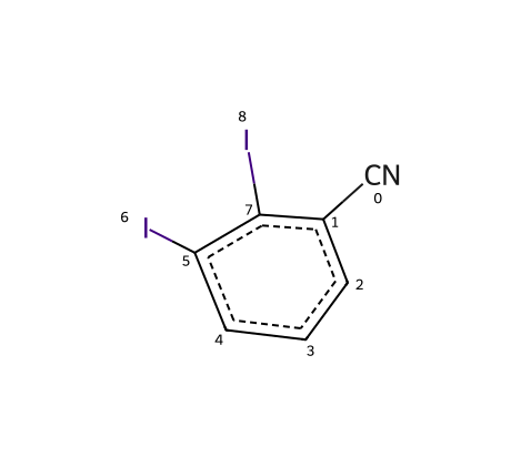 N#Cc1cccc(I)c1I